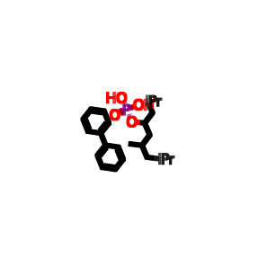 CC(C)CC(C)CC(CC(C)C)OP(=O)(O)O.c1ccc(-c2ccccc2)cc1